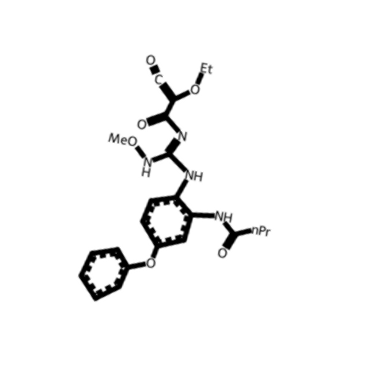 CCCC(=O)Nc1cc(Oc2ccccc2)ccc1NC(=NC(=O)C(=C=O)OCC)NOC